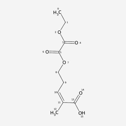 CCOC(=O)C(=O)OCCC=C(C)C(=O)O